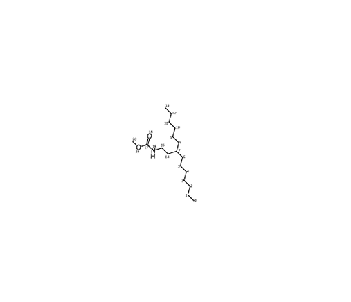 CCCCCCCC(CCCCCC)CCNC(=O)OC